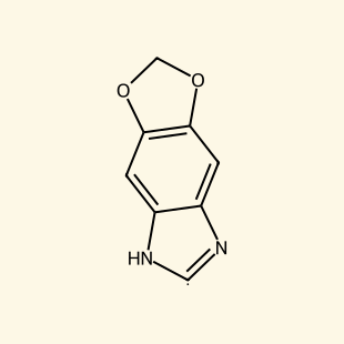 [c]1nc2cc3c(cc2[nH]1)OCO3